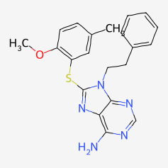 COc1ccc(C)cc1Sc1nc2c(N)ncnc2n1CCc1ccccc1